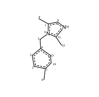 Cc1ccc(Cn2c(C)cnc2C)cc1